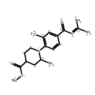 CC(C)(C)OC(=O)C1CCN(c2ccc(C(=O)N=C(N)N)cc2C(F)(F)F)C(N)C1